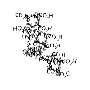 NC(=O)[C@H](CCCCNC(=O)CCC(C(=O)O)N1CCN(CC(=O)O)CCN(CC(=O)O)CCN(CC(=O)O)CC1)NC(=O)[C@H](CCCCNC(C=O)CC(C(=O)O)N1CCN(CC(=O)O)CCN(CC(=O)O)CCN(CC(=O)O)CC1)NC(=O)CCC(C(=O)O)N1CCN(CC(=O)O)CCN(CC(=O)O)CCN(CC(=O)O)CC1